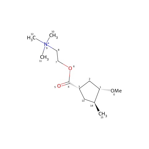 CO[C@H]1C[C@@H](C(=O)OCC[N+](C)(C)C)C[C@@H]1C